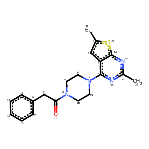 CCc1cc2c(N3CCN(C(=O)Cc4ccccc4)CC3)nc(C)nc2s1